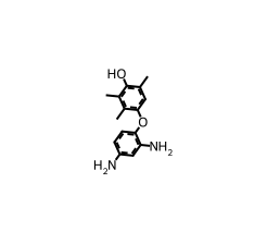 Cc1cc(Oc2ccc(N)cc2N)c(C)c(C)c1O